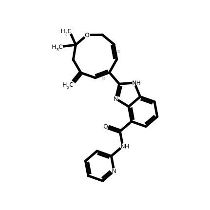 C=C1/C=C(c2nc3c(C(=O)Nc4ccccn4)cccc3[nH]2)\C=C/COC(C)(C)C1